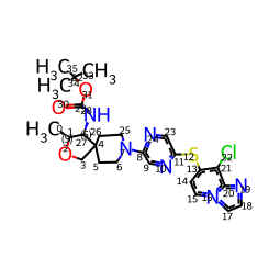 C[C@@H]1OCC2(CCN(c3cnc(Sc4ccn5ccnc5c4Cl)cn3)CC2)[C@@H]1NC(=O)OC(C)(C)C